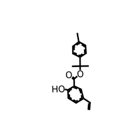 C=Cc1ccc(O)c(C(=O)OC(C)(C)c2ccc(C)cc2)c1